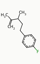 C=C(C)C(C)CCc1ccc(F)cc1